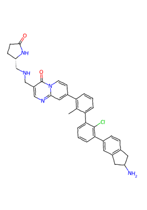 Cc1c(-c2ccn3c(=O)c(CNC[C@@H]4CCC(=O)N4)cnc3c2)cccc1-c1cccc(-c2ccc3c(c2)CC(N)C3)c1Cl